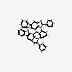 c1ccc(-c2nc3cc4c(oc5ccccc54)c4c3n2-c2cccc3c2B4c2c4oc5ccccc5c4cc4nc(-c5ccccc5)n-3c24)cc1